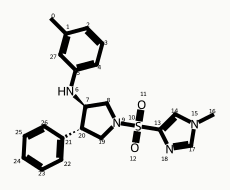 Cc1cccc(N[C@H]2CN(S(=O)(=O)c3cn(C)cn3)C[C@@H]2c2ccccc2)c1